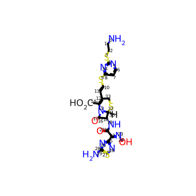 NCCSc1nccc(SC=CC2=C(C(=O)O)N3C(=O)[C@@H](NC(=O)C(=NO)c4nsc(N)n4)[C@H]3SC2)n1